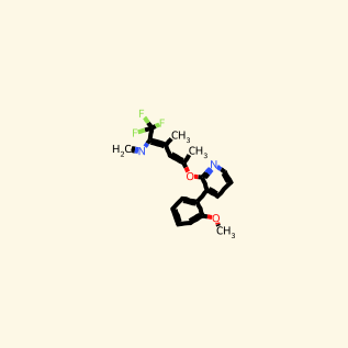 C=N/C(=C(C)\C=C(/C)Oc1ncccc1-c1ccccc1OC)C(F)(F)F